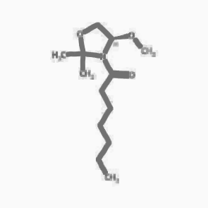 CCCCCCC(=O)N1[C@H](OC)COC1(C)C